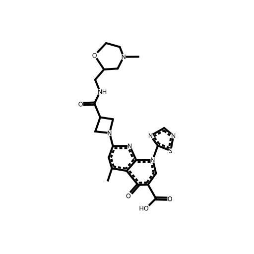 Cc1cc(N2CC(C(=O)NCC3CN(C)CCO3)C2)nc2c1c(=O)c(C(=O)O)cn2-c1ncns1